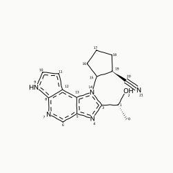 C[C@@H](O)c1nc2cnc3[nH]ccc3c2n1C1CCC[C@H]1C#N